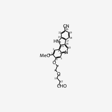 COc1cc2c(cc1OCCOCCC=O)ncc1c3ccc(C#N)cc3[nH]c21